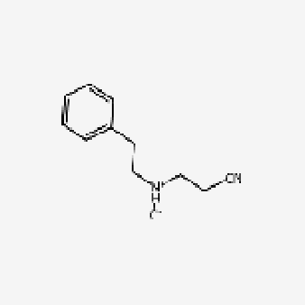 [CH2-][NH+](CCC#N)CCc1ccccc1